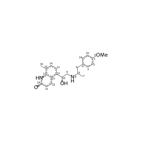 COc1ccc(CC(C)NCC(O)c2ccc(C)c3[nH]c(=O)ccc23)cc1